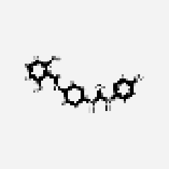 O=C(Nc1ccc(Br)cc1)NC1CCC(OCc2c(F)cccc2F)CC1